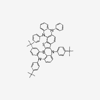 CC(C)(C)c1ccc(N2c3ccc(C(C)(C)C)cc3B3c4sc5c6c(ccc5c4N(c4ccc(C(C)(C)C)cc4)c4cccc2c43)N(c2ccccc2)c2ccccc2N6c2ccccc2)cc1